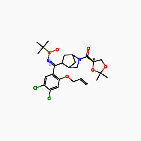 C=CCOc1cc(Cl)c(Cl)cc1/C(=N/[S+]([O-])C(C)(C)C)C1CC2CC1CN2C(=O)[C@H]1COC(C)(C)O1